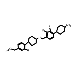 CCOCc1ccc(C2CCC(OCc3ccc(C4CCC(C)CC4)c(F)c3F)CC2)c(F)c1